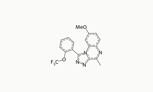 COc1ccc2nc(C)c3nnc(-c4ccccc4OC(F)(F)F)n3c2c1